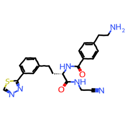 N#CCNC(=O)[C@H](CCc1cccc(-c2nncs2)c1)NC(=O)c1ccc(CCN)cc1